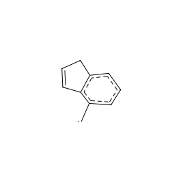 [CH2]c1cccc2c1C=CC2